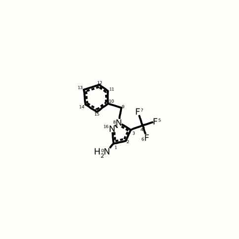 Nc1cc(C(F)(F)F)n(Cc2ccccc2)n1